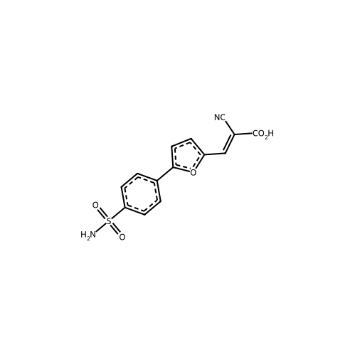 N#C/C(=C\c1ccc(-c2ccc(S(N)(=O)=O)cc2)o1)C(=O)O